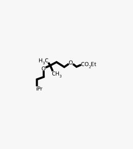 CCOC(=O)COCCC(C)(C)OCCC(C)C